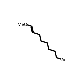 COC=CCCCCCCC(C)=O